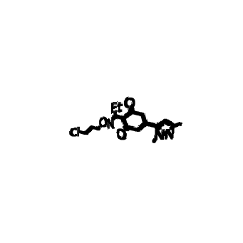 CCC(=NOC/C=C/Cl)C1C(=O)CC(c2cc(C)nn2C)CC1=O